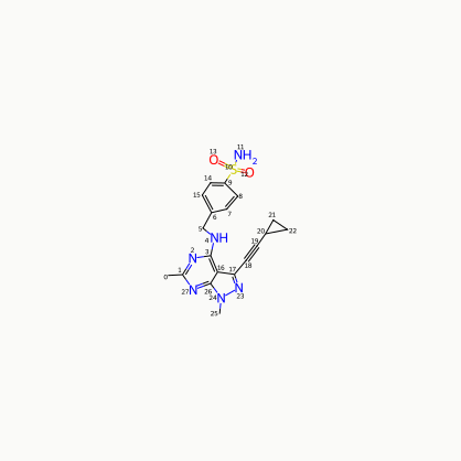 Cc1nc(NCc2ccc(S(N)(=O)=O)cc2)c2c(C#CC3CC3)nn(C)c2n1